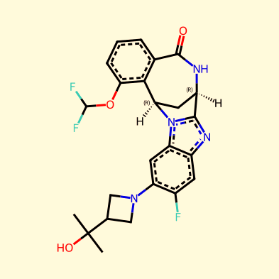 CC(C)(O)C1CN(c2cc3c(cc2F)nc2n3[C@@H]3C[C@H]2NC(=O)c2cccc(OC(F)F)c23)C1